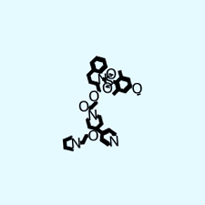 COc1cc(C)c(S(=O)(=O)N2c3ccccc3CCC2COCC(=O)N2CCC(OCCN3CCCC3)(c3ccncc3)CC2)c(C)c1